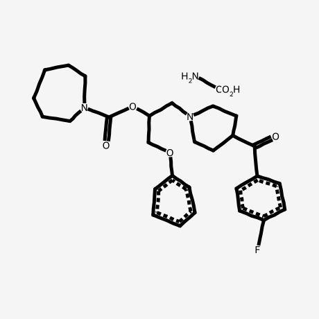 NC(=O)O.O=C(c1ccc(F)cc1)C1CCN(CC(COc2ccccc2)OC(=O)N2CCCCCC2)CC1